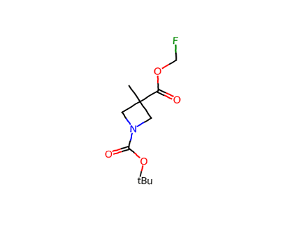 CC(C)(C)OC(=O)N1CC(C)(C(=O)OCF)C1